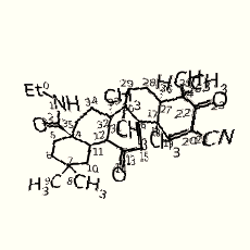 CCNC(=O)[C@]12CCC(C)(C)CC1C1C(=O)C=C3[C@@]4(C)C=C(C#N)C(=O)C(C)(C)[C@@H]4CC[C@@]3(C)[C@]1(C)CC2